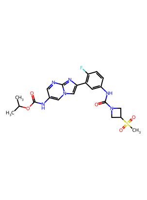 CC(C)OC(=O)Nc1cnc2nc(-c3cc(NC(=O)N4CC(S(C)(=O)=O)C4)ccc3F)cn2c1